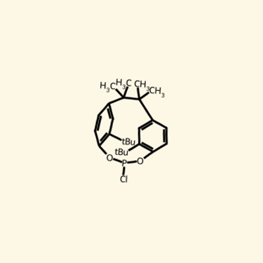 CC(C)(C)c1cc2ccc1OP(Cl)Oc1ccc(cc1C(C)(C)C)C(C)(C)C2(C)C